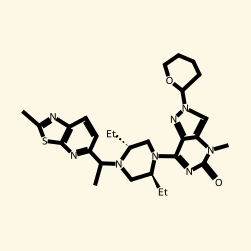 CC[C@H]1CN(C(C)c2ccc3nc(C)sc3n2)[C@H](CC)CN1c1nc(=O)n(C)c2cn(C3CCCCO3)nc12